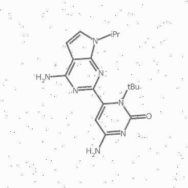 CC(C)n1ccc2c(N)nc(-c3cc(N)nc(=O)n3C(C)(C)C)nc21